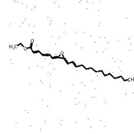 CCCCCCCCCCC/C=C/C=C1\O\C1=C/C=C/C=C/C(=O)OCC